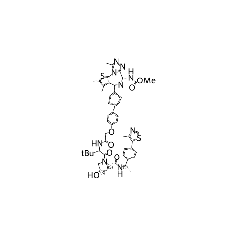 COC(=O)NC1N=C(c2ccc(-c3ccc(OCC(=O)NC(C(=O)N4C[C@H](O)C[C@H]4C(=O)N[C@@H](C)c4ccc(-c5scnc5C)cc4)C(C)(C)C)cc3)cc2)c2c(sc(C)c2C)-n2c(C)nnc21